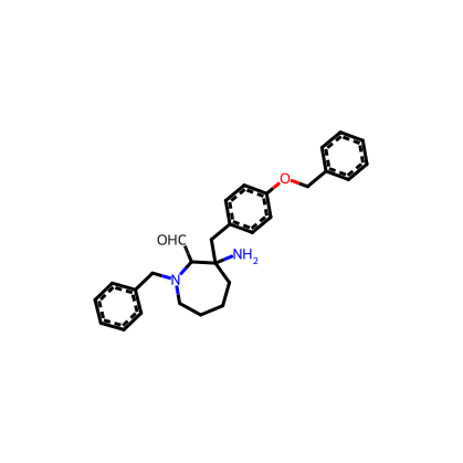 NC1(Cc2ccc(OCc3ccccc3)cc2)CCCCN(Cc2ccccc2)C1C=O